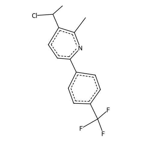 Cc1nc(-c2ccc(C(F)(F)F)cc2)ccc1C(C)Cl